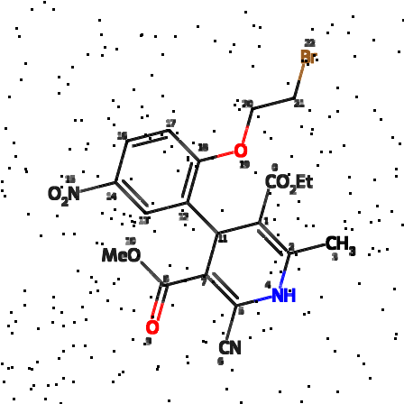 CCOC(=O)C1=C(C)NC(C#N)=C(C(=O)OC)C1c1cc([N+](=O)[O-])ccc1OCCBr